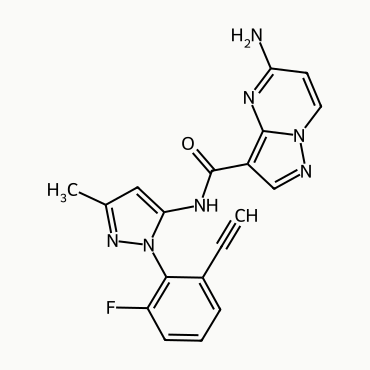 C#Cc1cccc(F)c1-n1nc(C)cc1NC(=O)c1cnn2ccc(N)nc12